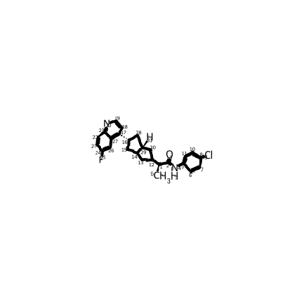 C[C@H](C(=O)Nc1ccc(Cl)cc1)C1CC2C[C@H](c3ccnc4ccc(F)cc34)C[C@@H]2C1